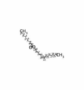 CCCCCCCCC/C=C/C(=O)OCCCCCCCC1CC1CCCCCCCC